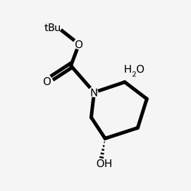 CC(C)(C)OC(=O)N1CCC[C@H](O)C1.O